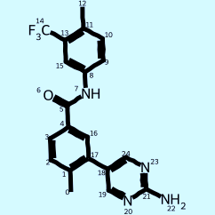 Cc1ccc(C(=O)Nc2ccc(C)c(C(F)(F)F)c2)cc1-c1cnc(N)nc1